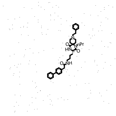 CCCN1C(=O)[C@H](CCCCNC(=O)Cc2ccc(-c3ccccc3)cc2)NC(=O)C12CCN(CCc1ccccc1)CC2